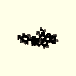 CCN(C(=O)c1nc(C)ccc1-n1nccn1)[C@@H](C)Cn1nnc(-c2ccc(F)cn2)n1